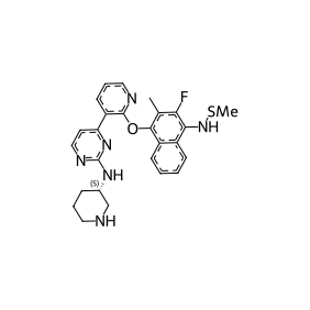 CSNc1c(F)c(C)c(Oc2ncccc2-c2ccnc(N[C@H]3CCCNC3)n2)c2ccccc12